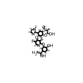 CC(C(=O)O)[S+]([O-])c1ccc(Oc2c(F)cnc(Oc3cc(C(=N)N)ccc3O)c2F)c(C2N=CCN2C)c1